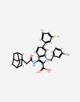 O=C(CC12CC3CC(CC(C3)C1)C2)Nc1c(C(=O)O)n(Cc2cccc(Cl)c2)c2cc(-c3cc(F)cc(F)c3)ccc12